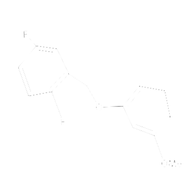 COC1=CC(OCc2cc(F)ccc2F)=CC[CH]1